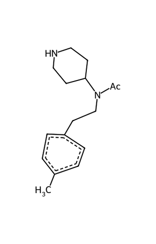 CC(=O)N(CCc1ccc(C)cc1)C1CCNCC1